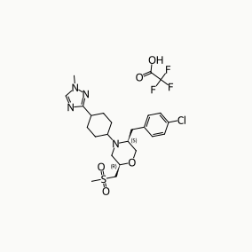 Cn1cnc(C2CCC(N3C[C@H](CS(C)(=O)=O)OC[C@@H]3Cc3ccc(Cl)cc3)CC2)n1.O=C(O)C(F)(F)F